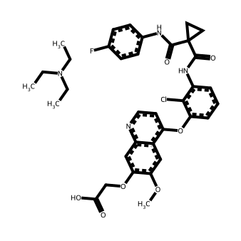 CCN(CC)CC.COc1cc2c(Oc3cccc(NC(=O)C4(C(=O)Nc5ccc(F)cc5)CC4)c3Cl)ccnc2cc1OCC(=O)O